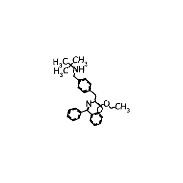 CCOC(=O)C(Cc1ccc(CNC(C)(C)C)cc1)N=C(c1ccccc1)c1ccccc1